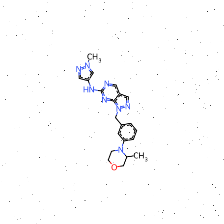 CC1COCCN1c1cccc(Cn2ncc3cnc(Nc4cnn(C)c4)nc32)c1